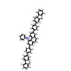 c1ccc(-n2c3cc(-c4ccc(-c5ccc6c(c5)sc5ccccc56)cc4)cc4ccc5cc(-c6ccc(-c7ccc8c(c7)sc7ccccc78)cc6)cc2c5c43)cc1